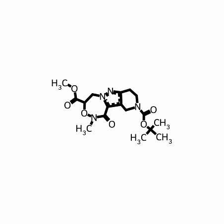 COC(=O)C1Cn2nc3c(c2C(=O)N(C)O1)CN(C(=O)OC(C)(C)C)CC3